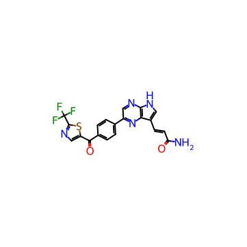 NC(=O)C=Cc1c[nH]c2ncc(-c3ccc(C(=O)c4cnc(C(F)(F)F)s4)cc3)nc12